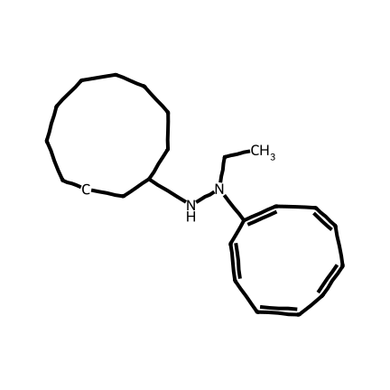 CCN(NC1CCCCCCCCCC1)c1ccccccccc1